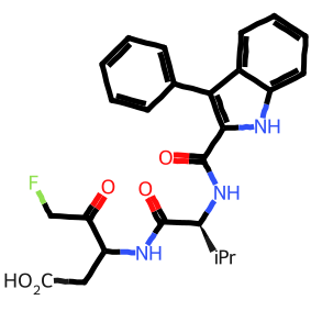 CC(C)[C@H](NC(=O)c1[nH]c2ccccc2c1-c1ccccc1)C(=O)NC(CC(=O)O)C(=O)CF